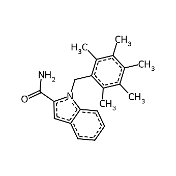 Cc1c(C)c(C)c(Cn2c(C(N)=O)cc3ccccc32)c(C)c1C